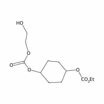 CCOC(=O)OC1CCC(OC(=O)OCCO)CC1